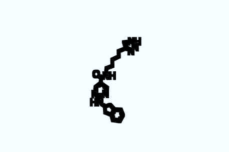 O=C(NCCCCCc1c[nH]nn1)c1cnc(NC2Cc3ccccc3C2)nc1